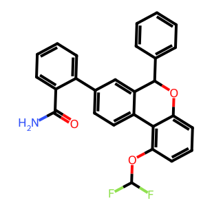 NC(=O)c1ccccc1-c1ccc2c(c1)C(c1ccccc1)Oc1cccc(OC(F)F)c1-2